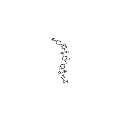 O=C(Nc1ccc(Oc2ccnc(NC(=O)N3CC(O)C3)c2)c(F)c1)c1cn(-c2ccc(O)cc2)nn1